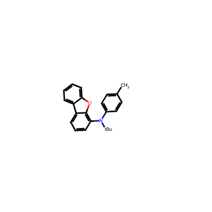 Cc1ccc(N(c2cccc3c2oc2ccccc23)C(C)(C)C)cc1